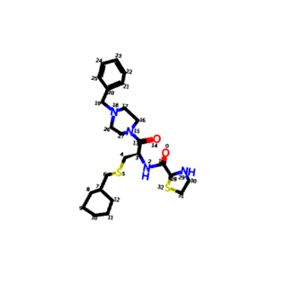 O=C(N[C@@H](CSCC1CCCCC1)C(=O)N1CCN(Cc2ccccc2)CC1)C1N[CH]CS1